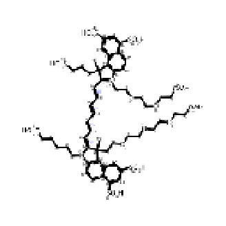 COCCOCCOCCOCCC1(C)\C(=C/C=C/C=C/C=C/C2=[N+](CCOCCOCCOC)c3ccc4c(S(=O)(=O)O)cc(S(=O)(=O)O)cc4c3C2(C)CCCS(=O)(=O)O)N(CCCCCC(=O)O)c2ccc3c(S(=O)(=O)O)cc(S(=O)(=O)O)cc3c21